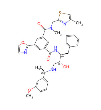 COc1cccc([C@@H](C)NC[C@@H](O)[C@H](Cc2ccccc2)NC(=O)c2cc(C(=O)N(C)Cc3nc(C)cs3)cc(-c3ncco3)c2)c1